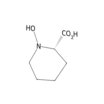 O=C(O)[C@@H]1CCCCN1O